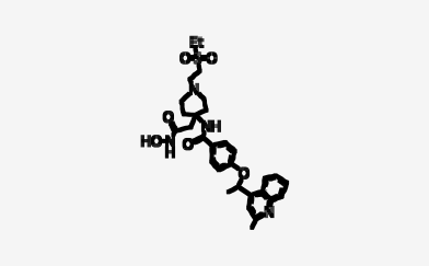 CCS(=O)(=O)CCN1CCC(CC(=O)NO)(NC(=O)c2ccc(OC(C)c3cc(C)nc4ccccc34)cc2)CC1